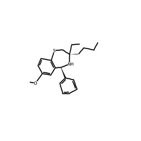 CCCC[C@@]1(CC)CSc2ccc(OC)cc2[C@H](c2ccccc2)N1